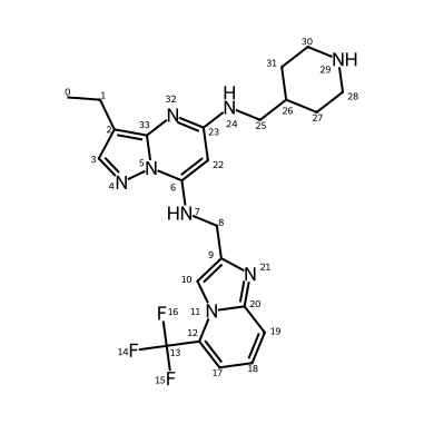 CCc1cnn2c(NCc3cn4c(C(F)(F)F)cccc4n3)cc(NCC3CCNCC3)nc12